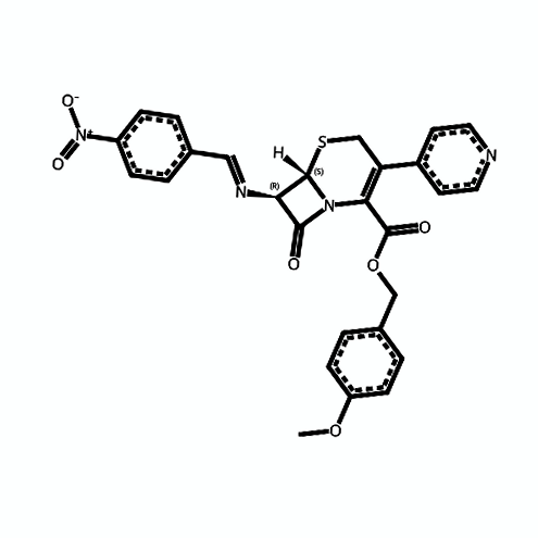 COc1ccc(COC(=O)C2=C(c3ccncc3)CS[C@H]3[C@H](N=Cc4ccc([N+](=O)[O-])cc4)C(=O)N23)cc1